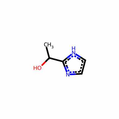 C[C](O)c1ncc[nH]1